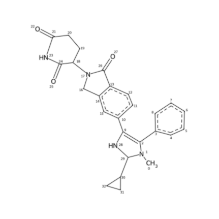 CN1C(c2ccccc2)=C(c2ccc3c(c2)CN(C2CCC(=O)NC2=O)C3=O)NC1C1CC1